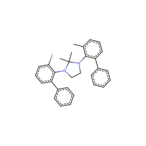 Cc1cccc(-c2ccccc2)c1N1CCN(c2c(I)cccc2-c2ccccc2)C1(C)C